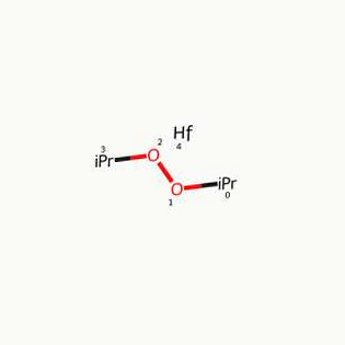 CC(C)OOC(C)C.[Hf]